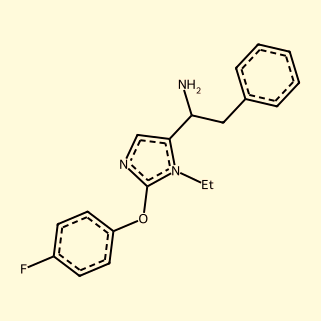 CCn1c(C(N)Cc2ccccc2)cnc1Oc1ccc(F)cc1